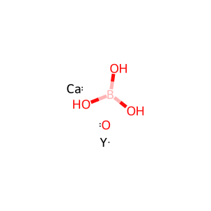 OB(O)O.[Ca].[O].[Y]